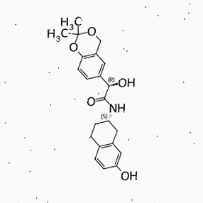 CC1(C)OCc2cc([C@@H](O)C(=O)N[C@H]3CCc4ccc(O)cc4C3)ccc2O1